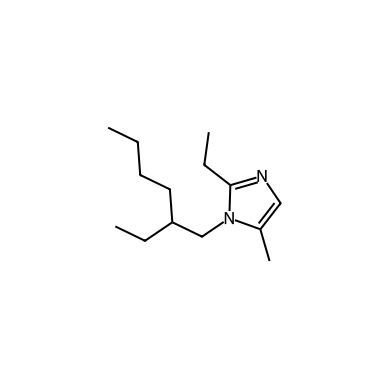 CCCCC(CC)Cn1c(C)cnc1CC